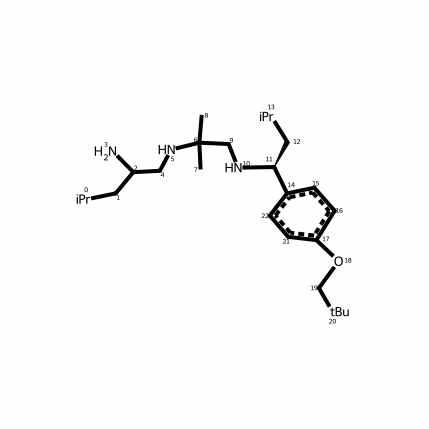 CC(C)CC(N)CNC(C)(C)CN[C@@H](CC(C)C)c1ccc(OCC(C)(C)C)cc1